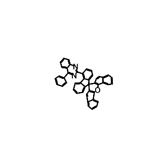 c1ccc(-c2nc(-c3cccc4c3-c3ccccc3C43c4ccc5ccccc5c4Oc4c3ccc3ccccc43)nc3ccccc23)cc1